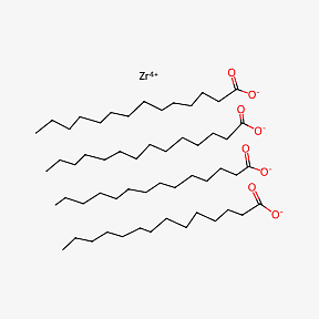 CCCCCCCCCCCCCC(=O)[O-].CCCCCCCCCCCCCC(=O)[O-].CCCCCCCCCCCCCC(=O)[O-].CCCCCCCCCCCCCC(=O)[O-].[Zr+4]